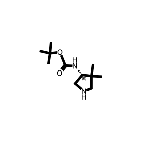 CC(C)(C)OC(=O)N[C@H]1CNCC1(C)C